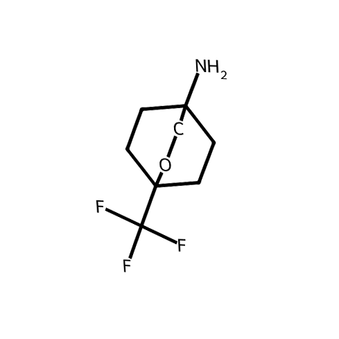 NC12CCC(C(F)(F)F)(CC1)OC2